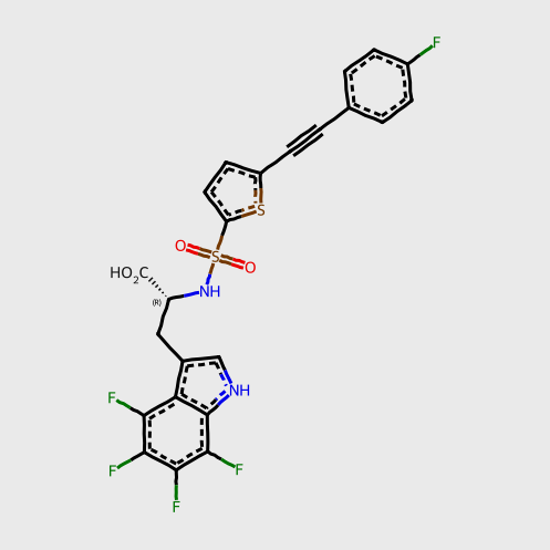 O=C(O)[C@@H](Cc1c[nH]c2c(F)c(F)c(F)c(F)c12)NS(=O)(=O)c1ccc(C#Cc2ccc(F)cc2)s1